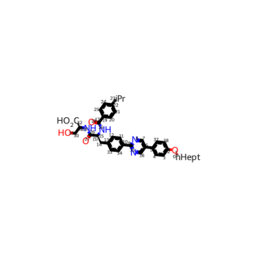 CCCCCCCOc1ccc(-c2cnc(-c3ccc(C[C@H](NC(=O)c4ccc(C(C)C)cc4)C(=O)N[C@@H](CO)C(=O)O)cc3)nc2)cc1